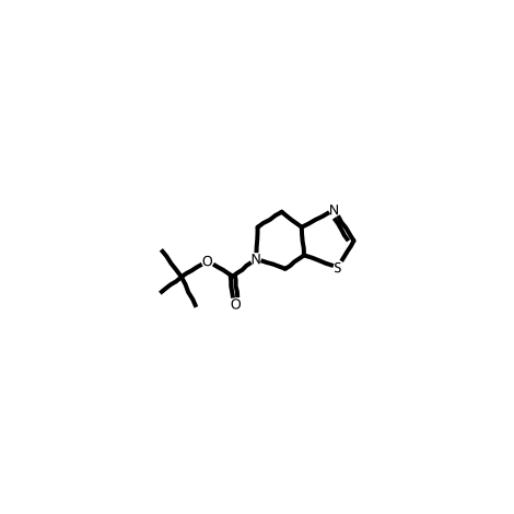 CC(C)(C)OC(=O)N1CCC2N=CSC2C1